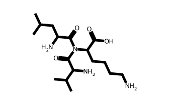 CC(C)CC(N)C(=O)N(C(=O)C(N)C(C)C)C(CCCCN)C(=O)O